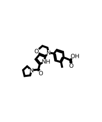 Cc1cc(N2CCOc3cc(C(=O)N4CCCC4)[nH]c32)ccc1C(=O)O